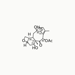 CC(=O)O[C@H]1C(=O)[C@@]2(C)C(C[C@]3(O)CCC(C)=C1[C@@H]3C)[C@@H]1CO[C@@H]1C[C@@H]2O